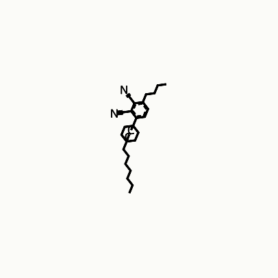 CCCCCCCC12CCC(c3ccc(CCCC)c(C#N)c3C#N)(CC1)CC2